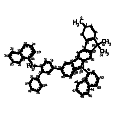 CC1C=CC2=C(C1)c1cc3c4cc(-c5ccc(Nc6cccc7ccccc67)c(-c6ccccc6)c5)ccc4n(-c4cccc5ccccc45)c3cc1C2(C)C